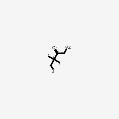 CC(=O)CC(=O)C(C)(C)CF